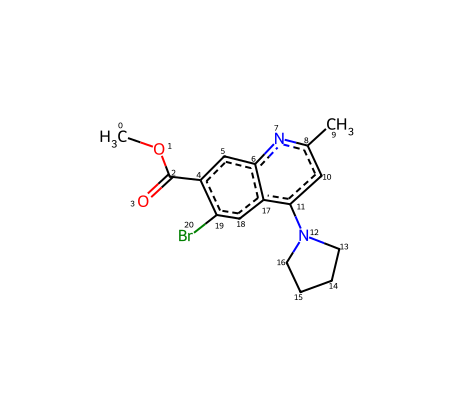 COC(=O)c1cc2nc(C)cc(N3CCCC3)c2cc1Br